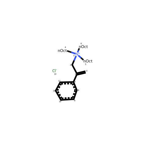 C=C(C[N+](CCCCCCCC)(CCCCCCCC)CCCCCCCC)c1ccccc1.[Cl-]